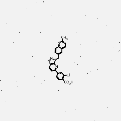 Cc1ccc2cc(Cn3nnc4ccc(-c5ccc(C(=O)O)c(Cl)c5)nc43)ccc2n1